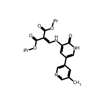 Cc1cncc(-c2c[nH]c(=O)c(NC=C(C(=O)OC(C)C)C(=O)OC(C)C)c2)c1